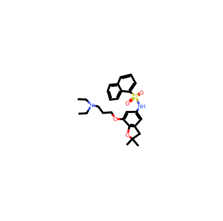 CCN(CC)CCCOc1cc(NS(=O)(=O)c2cccc3ccccc23)cc2c1OC(C)(C)C2